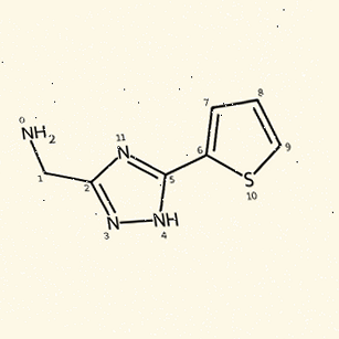 NCc1n[nH]c(-c2cccs2)n1